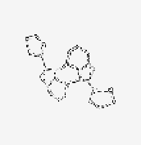 c1coc(-c2sc3cccc4c5c(-c6ccco6)sc6cccc(c2c34)c65)c1